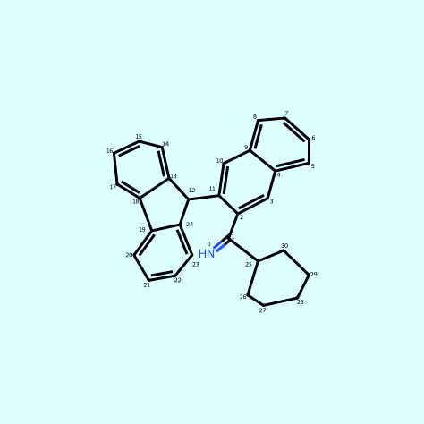 N=C(c1cc2ccccc2cc1C1c2ccccc2-c2ccccc21)C1CCCCC1